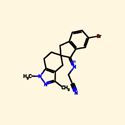 Cc1nn(C)c2c1CC1(CC2)Cc2ccc(Br)cc2/C1=N/CC#N